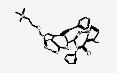 Cc1ccn2nc(C(C)Nc3ncnc4c3c(C#Cc3ccccc3)cn4COCC[Si](C)(C)C)n(-c3ccccc3)c(=O)c12